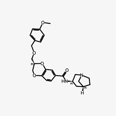 COc1ccc(COC[C@@H]2COc3ccc(C(=O)N[C@@H]4C[C@H]5CCN(C5)C4)cc3O2)cc1